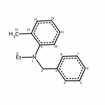 CCN(Cc1ccccc1)c1ccccc1C